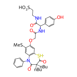 CCCCC1(CCCC)C(=O)[SH]c2cc(OCC(=O)N[C@@H](C(=O)NCCS(=O)(=O)O)c3ccc(O)cc3)c(SC)cc2N(c2ccccc2)C1=O